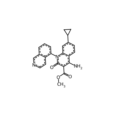 COC(=O)c1c(N)c2ccc(C3CC3)cc2n(-c2cccc3cnccc23)c1=O